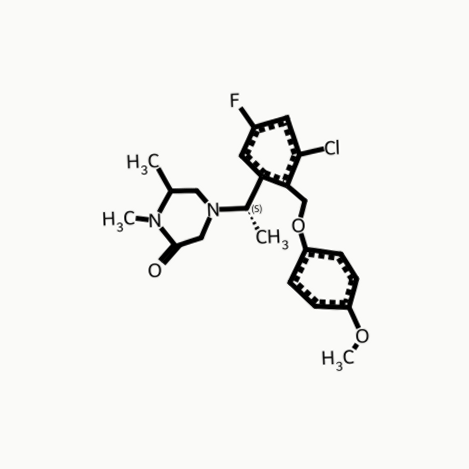 COc1ccc(OCc2c(Cl)cc(F)cc2[C@H](C)N2CC(=O)N(C)C(C)C2)cc1